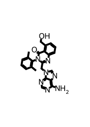 Cc1cccc(C)c1-n1c(Cn2cnc3c(N)ncnc32)nc2cccc(CO)c2c1=O